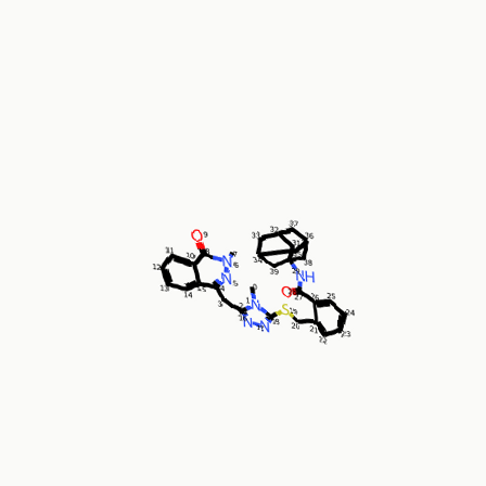 Cn1c(Cc2nn(C)c(=O)c3ccccc23)nnc1SCc1ccccc1C(=O)NC12CC3CC(CC(C3)C1)C2